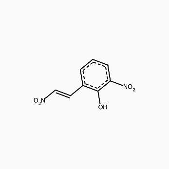 O=[N+]([O-])C=Cc1cccc([N+](=O)[O-])c1O